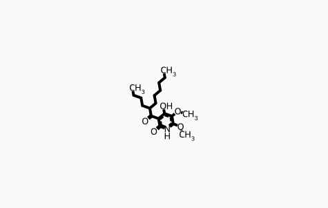 CCCCCCC(CCCC)C(=O)c1c(O)c(OC)c(OC)[nH]c1=O